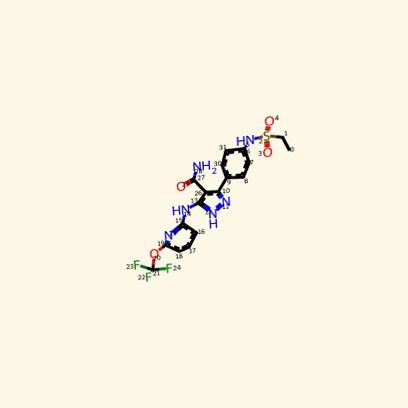 CCS(=O)(=O)Nc1ccc(-c2n[nH]c(Nc3cccc(OC(F)(F)F)n3)c2C(N)=O)cc1